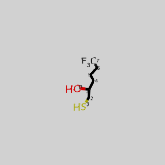 OC(CS)CCCC(F)(F)F